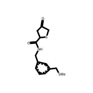 CSCc1cccc(CNC(=O)C2CC(=O)CS2)c1